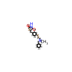 CN(CCSc1ccc(CC2SC(=O)NC2=O)cc1)Cc1ccccc1